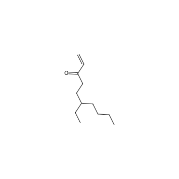 C=CC(=O)CCC(CC)CCCC